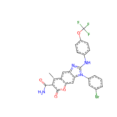 Cc1c(C(N)=O)c(=O)oc2cc3c(cc12)nc(Nc1ccc(OC(F)(F)F)cc1)n3-c1cccc(Br)c1